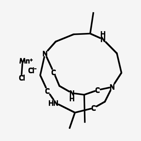 CC1CCN2CCNC(C)CCN(CCN1)CC(C)NCC2.[Cl-].[Cl][Mn+]